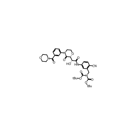 CC(C)(C)OC(=O)N(Cc1cc(NC(=O)[C@H](O)[C@H]2OCCN(c3cccc(C(=O)N4CCOCC4)c3)C2=O)ccc1C#N)C(=O)OC(C)(C)C